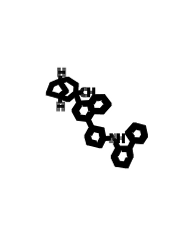 CC1(c2ccc(-c3cccc(Nc4ccccc4-c4ccccc4)c3)c3ccccc23)CC[C@H]2CC[C@H](C2)C1